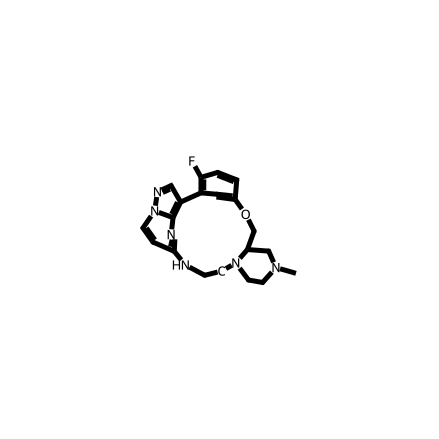 CN1CCN2CCNc3ccn4ncc(c4n3)-c3cc(ccc3F)OCC2C1